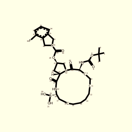 CC(C)(C)OC(=O)N[C@H]1CCCCCCCCC[C@H](B(O)O)NC(=O)[C@@H]2C[C@@H](OC(=O)N3Cc4cccc(F)c4C3)CN2C1=O